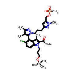 COC(=O)c1c(C)c2c(-c3c(C)c(C)nn3CCCc3cc(COS(C)(=O)=O)n(C)n3)c(Cl)ccc2n1CCCO[Si](C)(C)C(C)(C)C